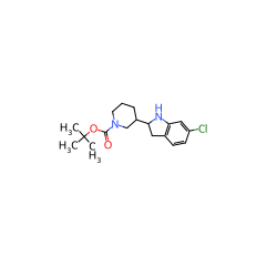 CC(C)(C)OC(=O)N1CCCC(C2Cc3ccc(Cl)cc3N2)C1